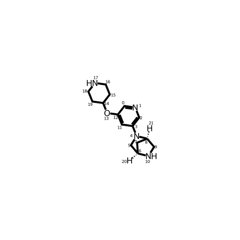 c1ncc(N2C[C@H]3C[C@@H]2CN3)cc1OC1CCNCC1